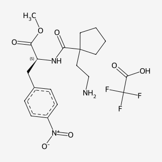 COC(=O)[C@H](Cc1ccc([N+](=O)[O-])cc1)NC(=O)C1(CCN)CCCC1.O=C(O)C(F)(F)F